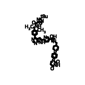 Cc1cc(-c2ncnc3[nH]c(-c4ccc(C5(O)CN(CC6CCN(c7ccc(N8CCC(=O)NC8=O)cc7)CC6)C5)cn4)cc23)ccc1[C@@H](C)NC(=O)c1nc(C(C)(C)C)no1